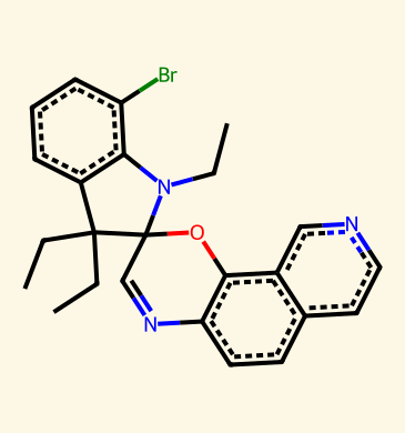 CCN1c2c(Br)cccc2C(CC)(CC)C12C=Nc1ccc3ccncc3c1O2